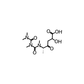 C[C@@H](C(=O)CC(O)C(=O)O)N(C)C(=O)N(C)C(=O)N(C)C